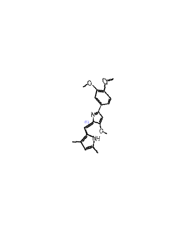 COC1=CC(c2ccc(OC)c(OC)c2)=N/C1=C/c1[nH]c(C)cc1C